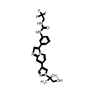 CC(C)(CO)n1cc(-c2ccn3c(-c4cccc(NC(=O)NCC(F)(F)F)c4)cnc3c2)cn1